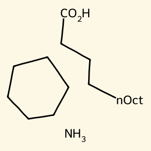 C1CCCCC1.CCCCCCCCCCCC(=O)O.N